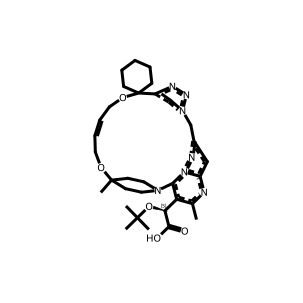 Cc1nc2cc3nn2c(c1[C@H](OC(C)(C)C)C(=O)O)N1CCC(C)(CC1)OCC=CCOC1(CCCCC1)c1cn(nn1)C3